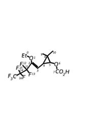 CCOC(=CC1C(OC(=O)O)C1(C)C)C(F)(F)C(F)(F)C(F)(F)F